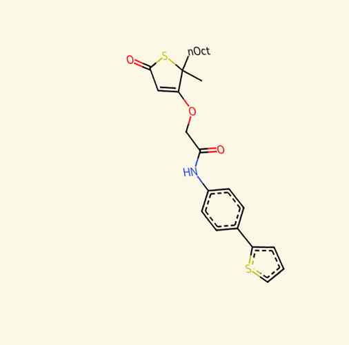 CCCCCCCCC1(C)SC(=O)C=C1OCC(=O)Nc1ccc(-c2cccs2)cc1